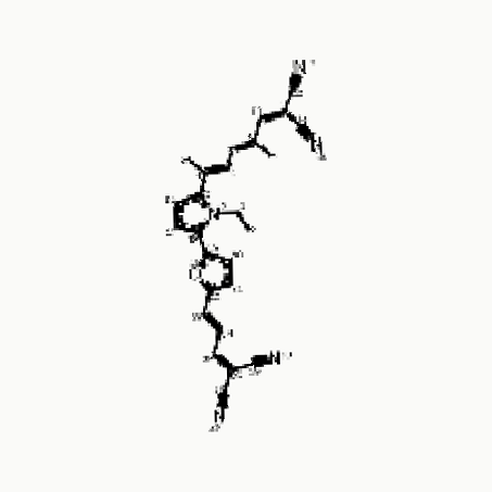 CCn1c(/C(C)=C/C=C(\C)C=C(C#N)C#N)ccc1-c1ccc(/C=C/C=C(C#N)C#N)o1